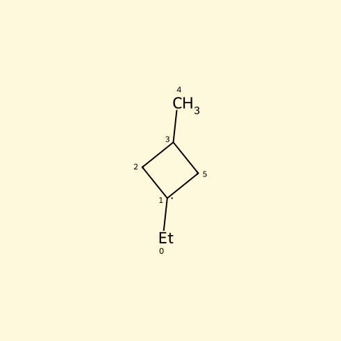 CC[C]1CC(C)C1